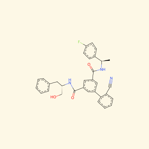 C[C@@H](NC(=O)c1cc(C(=O)N[C@H](CO)Cc2ccccc2)cc(-c2ccccc2C#N)c1)c1ccc(F)cc1